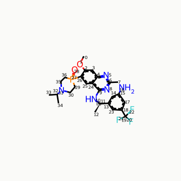 COc1cc2nc(C)nc(N[C@H](C)c3cc(N)cc(C(F)(F)F)c3)c2cc1P1(=O)CCN(C(C)C)CC1